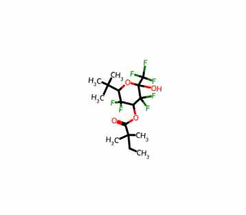 CCC(C)(C)C(=O)OC1C(F)(F)C(C(C)(C)C)OC(O)(C(F)(F)F)C1(F)F